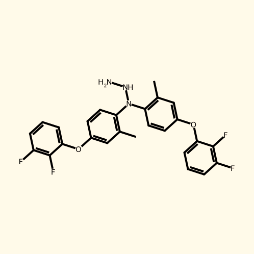 Cc1cc(Oc2cccc(F)c2F)ccc1N(NN)c1ccc(Oc2cccc(F)c2F)cc1C